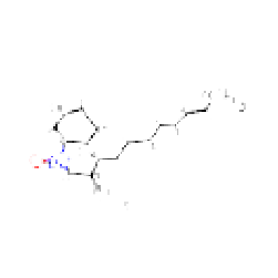 CCCCCCCCCC(C)/C=[N+](/[O-])C1CCCCC1